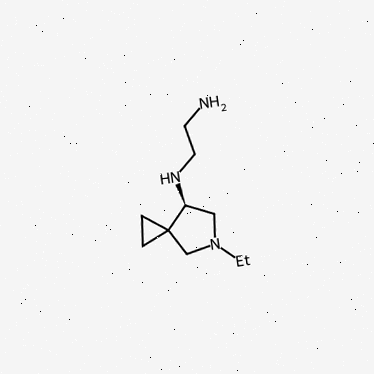 CCN1C[C@H](NCCN)C2(CC2)C1